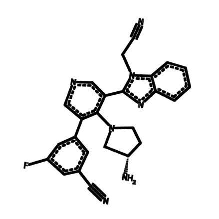 N#CCn1c(-c2cncc(-c3cc(F)cc(C#N)c3)c2N2CC[C@H](N)C2)nc2ccccc21